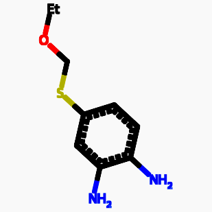 CCOCSc1ccc(N)c(N)c1